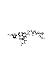 CC1CCN(c2cc(N3CCN(CCOC(=O)OC(C)(C)C)CC3)ccc2NC(=O)c2ccc(C#N)o2)CC1